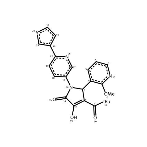 COc1ncccc1C1C(C(=O)C(C)(C)C)=C(O)C(=O)N1c1ccc(-c2ccsc2)nc1